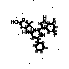 CC(C)(C)C(CC(=O)O)NC1=NC(c2c[nH]c3c(F)cc(F)cc23)NC(c2ccccc2)=C1